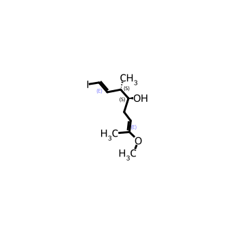 CO/C(C)=C/C[C@H](O)[C@@H](C)/C=C/I